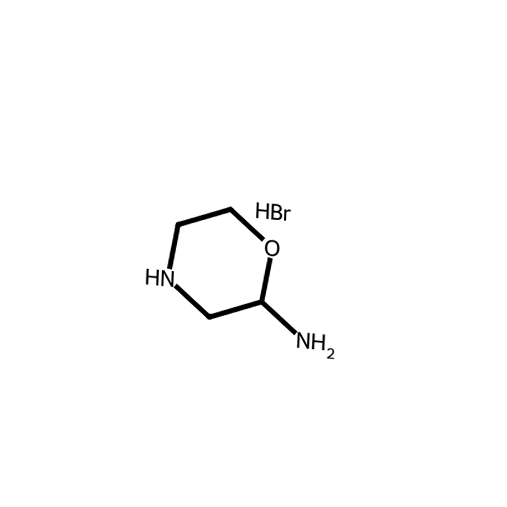 Br.NC1CNCCO1